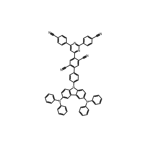 N#Cc1ccc(-c2cc(-c3cc(C#N)c(-c4ccc(-n5c6ccc(N(c7ccccc7)c7ccccc7)cc6c6cc(N(c7ccccc7)c7ccccc7)ccc65)cc4)cc3C#N)nc(-c3ccc(C#N)cc3)n2)cc1